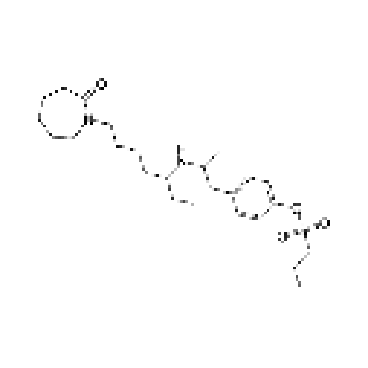 CCCS(=O)(=O)Oc1ccc(CC(C)NC(CC)CCCCN2CCCCCC2=O)cc1